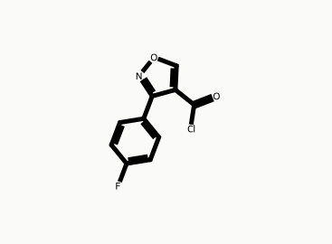 O=C(Cl)c1conc1-c1ccc(F)cc1